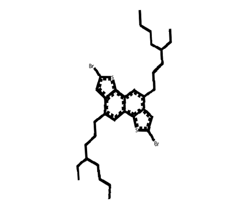 CCCCC(CC)CCCc1cc2c(cc(CCCC(CC)CCCC)c3cc(Br)sc32)c2sc(Br)cc12